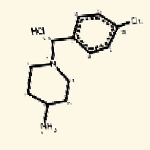 Cl.NC1CCN(Cc2ccc(Cl)cc2)CC1